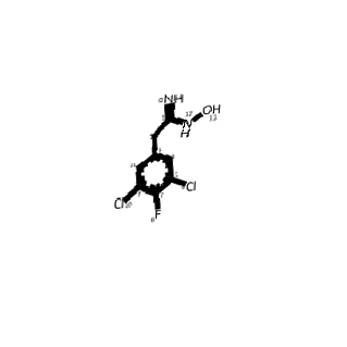 N=C(Cc1cc(Cl)c(F)c(Cl)c1)NO